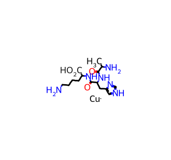 CC(N)C(=O)NC(Cc1c[nH]cn1)C(=O)NC(CCCCN)C(=O)O.[Cu]